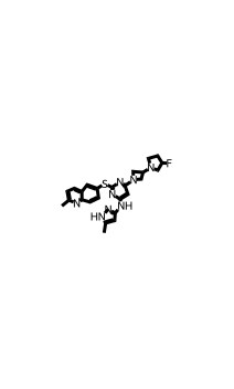 Cc1ccc2cc(Sc3nc(Nc4cc(C)[nH]n4)cc(N4CC(N5CCC(F)C5)C4)n3)ccc2n1